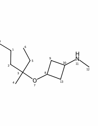 CCCC(C)(CC)OC1CC(NC)C1